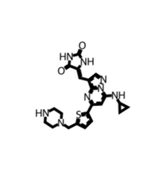 O=C1NC(=O)/C(=C/c2cnn3c(NC4CC4)cc(-c4ccc(CN5CCNCC5)s4)nc23)N1